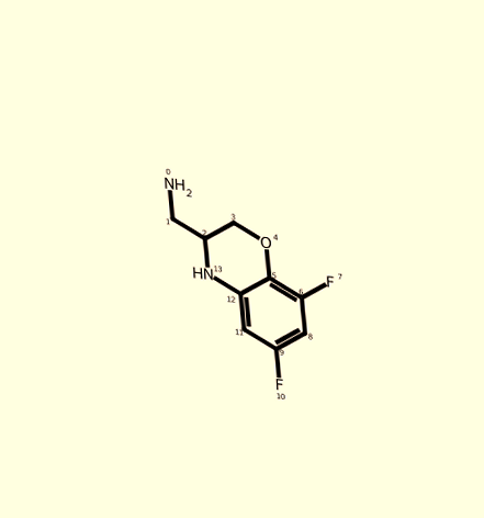 NCC1COc2c(F)cc(F)cc2N1